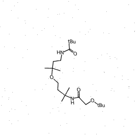 CC(C)(CCOC(C)(C)CCNC(=O)C(C)(C)C)NC(=O)COC(C)(C)C